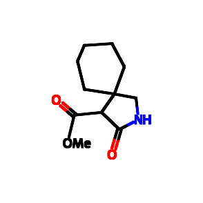 COC(=O)C1C(=O)NCC12CCCCC2